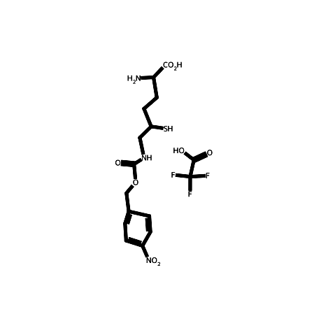 NC(CCC(S)CNC(=O)OCc1ccc([N+](=O)[O-])cc1)C(=O)O.O=C(O)C(F)(F)F